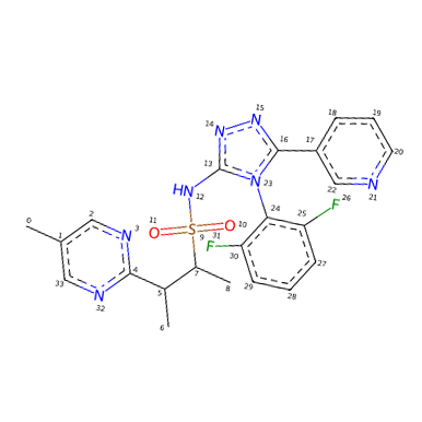 Cc1cnc(C(C)C(C)S(=O)(=O)Nc2nnc(-c3cccnc3)n2-c2c(F)cccc2F)nc1